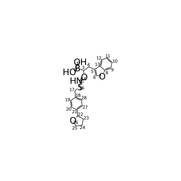 OB(O)C(Cc1coc2ccccc12)ONSCc1ccc(C2CCCO2)cc1